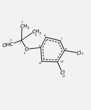 CC(C)(C=O)Oc1ccc(Cl)c(Cl)c1